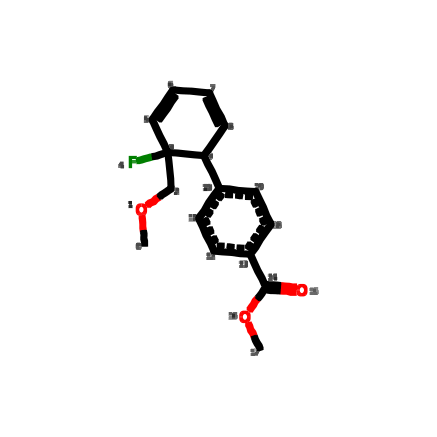 COCC1(F)C=CC=CC1c1ccc(C(=O)OC)cc1